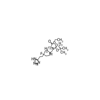 CCOC(=O)[C@@H]1C[C@H]2CC(F)(CCc3nnn[nH]3)CC[C@H]2CN1C(=O)OC(C)(C)C